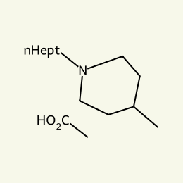 CC(=O)O.CCCCCCCN1CCC(C)CC1